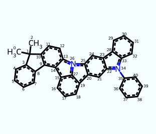 CC1(C)c2ccccc2-c2c1ccc1c2c2cccc3c4cc5c(cc4n1c32)c1ccccc1n5-c1ccccc1